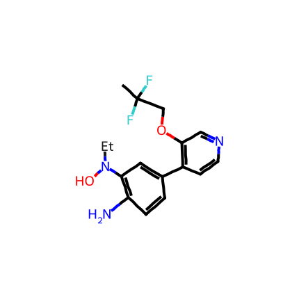 CCN(O)c1cc(-c2ccncc2OCC(C)(F)F)ccc1N